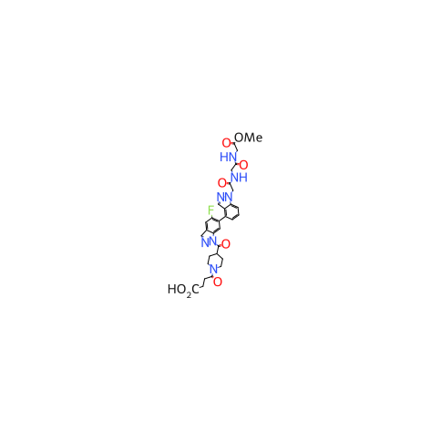 COC(=O)CNC(=O)CNC(=O)Cn1ncc2c(-c3cc4c(cnn4C(=O)C4CCN(C(=O)CCC(=O)O)CC4)cc3F)cccc21